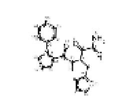 NC(=O)C(=O)C(Cc1ccco1)NC(=O)c1cncn1-c1ccncn1